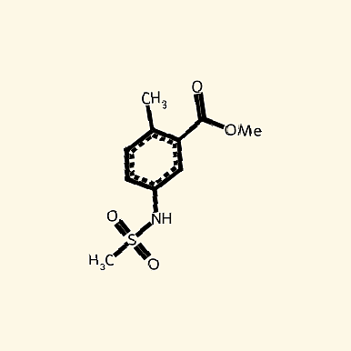 COC(=O)c1cc(NS(C)(=O)=O)ccc1C